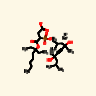 CC(C)CC(C)(O)C#CC(C)(O)CC(C)C.CCCCCC(CC)(CC)OC(=O)C(CC(=O)[O-])S(=O)(=O)[O-].[K+].[Na+]